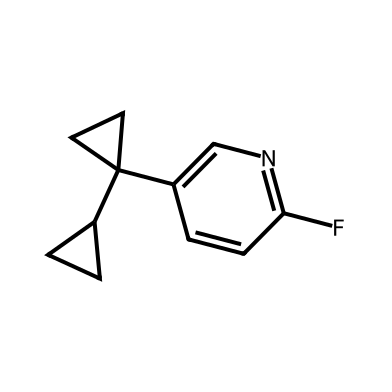 Fc1ccc(C2(C3CC3)CC2)cn1